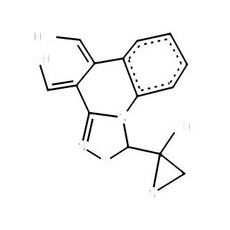 C/C=C1\C(=C/C)C2=NSC(C3(C)CN3)N2c2ccccc21